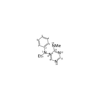 CCN(c1ccccc1)[n+]1cncnc1NC